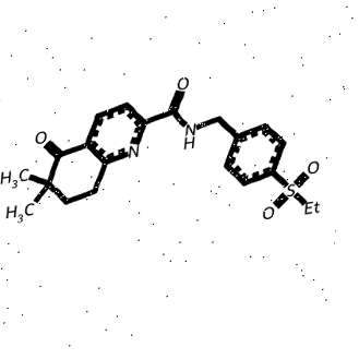 CCS(=O)(=O)c1ccc(CNC(=O)c2ccc3c(n2)CCC(C)(C)C3=O)cc1